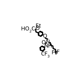 CCOC(Cc1ccc(OCCN(CCCCCC(C)(F)F)C(=O)Nc2cccc(C(F)(F)F)c2)cc1)C(=O)O